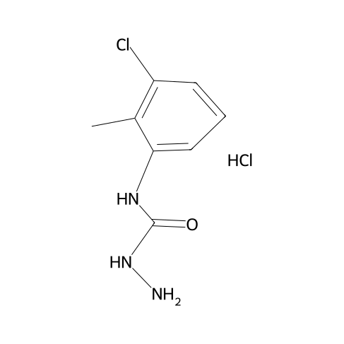 Cc1c(Cl)cccc1NC(=O)NN.Cl